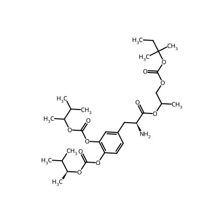 CCC(C)(C)OC(=O)OCC(C)OC(=O)[C@@H](N)Cc1ccc(OC(=O)O[C@@H](C)C(C)C)c(OC(=O)OC(C)C(C)C)c1